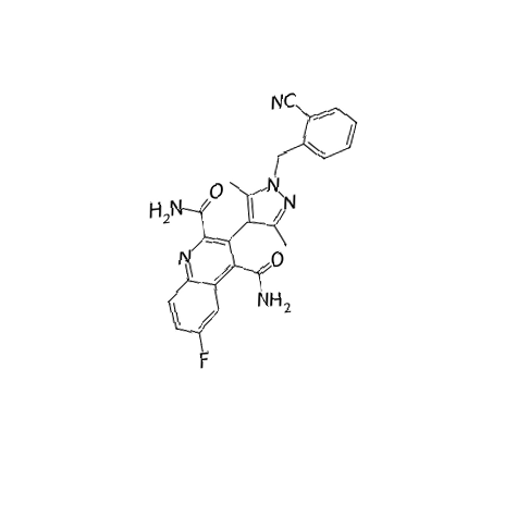 Cc1nn(Cc2ccccc2C#N)c(C)c1-c1c(C(N)=O)nc2ccc(F)cc2c1C(N)=O